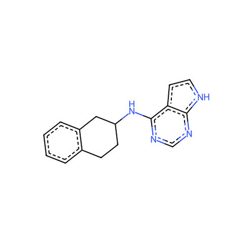 c1ccc2c(c1)CCC(Nc1ncnc3[nH]ccc13)C2